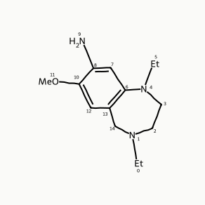 CCN1CCN(CC)c2cc(N)c(OC)cc2C1